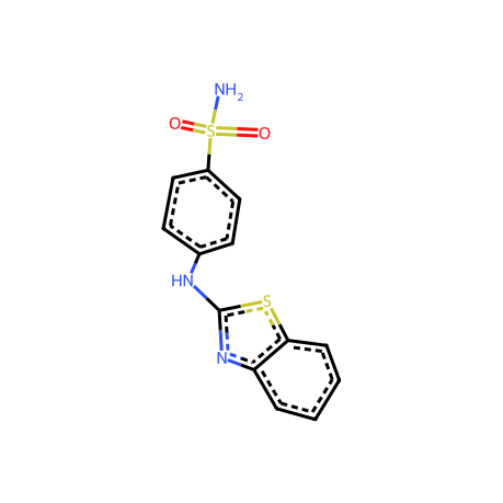 NS(=O)(=O)c1ccc(Nc2nc3ccccc3s2)cc1